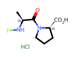 C[C@H](NF)C(=O)N1CCC[C@H]1C(=O)O.Cl